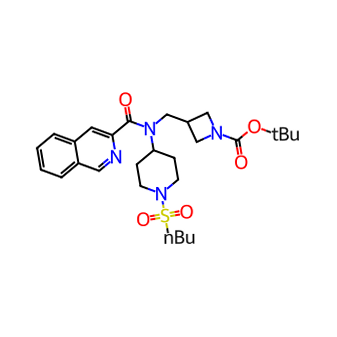 CCCCS(=O)(=O)N1CCC(N(CC2CN(C(=O)OC(C)(C)C)C2)C(=O)c2cc3ccccc3cn2)CC1